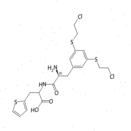 N[C@@H](Cc1cc(SCCCl)cc(SCCCl)c1)C(=O)NC(Cc1cccs1)C(=O)O